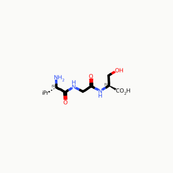 CC(C)[C@H](N)C(=O)NCC(=O)N[C@@H](CO)C(=O)O